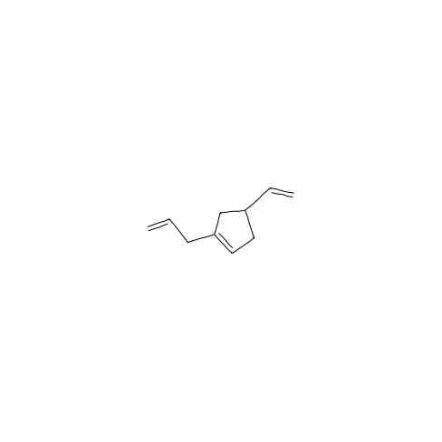 C=CCC1=CCC(C=C)C1